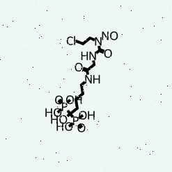 O=NN(CCCl)C(=O)NCC(=O)NCCCCC(O)(P(=O)(O)O)P(=O)(O)O